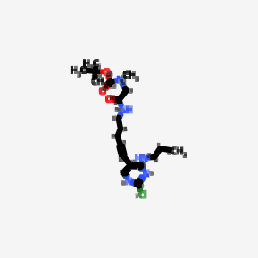 CCCNc1nc(Cl)ncc1C#CCCCNC(=O)CN(C)C(=O)OC(C)(C)C